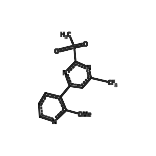 COc1ncccc1-c1cc(C(F)(F)F)nc(S(C)(=O)=O)n1